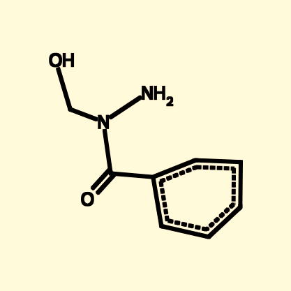 NN(CO)C(=O)c1ccccc1